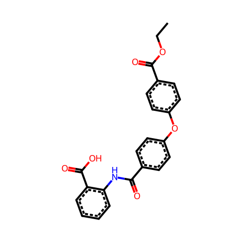 CCOC(=O)c1ccc(Oc2ccc(C(=O)Nc3ccccc3C(=O)O)cc2)cc1